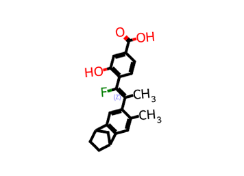 C/C(=C(/F)c1ccc(C(=O)O)cc1O)c1cc2c(cc1C)C1CCC2C1